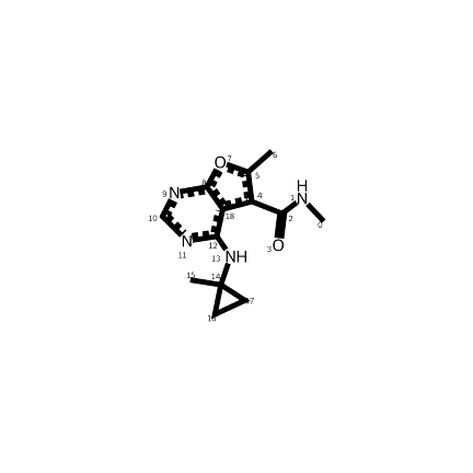 CNC(=O)c1c(C)oc2ncnc(NC3(C)CC3)c12